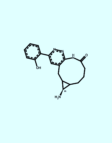 N[C@@H]1C2CCCC(=O)Nc3nnc(-c4ccccc4O)cc3CC21